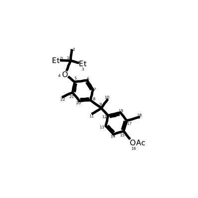 CCC(C)(CC)Oc1ccc(C(C)(C)c2ccc(OC(C)=O)c(C)c2)cc1C